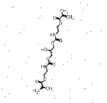 C=C(C)C(=O)OCCNC(=O)OCC(O)COC(=O)NCCOC(=O)C(=C)C